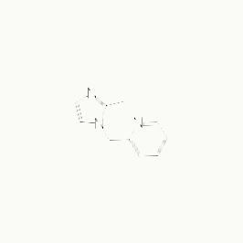 Cc1nccn1Cc1ccccn1